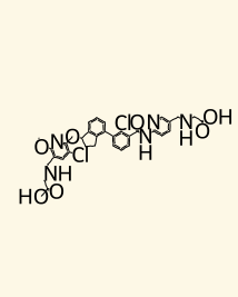 COc1nc(OC2CCc3c(-c4cccc(C(=O)Nc5ccc(CNCC(=O)O)cn5)c4Cl)cccc32)c(Cl)cc1CNCC(=O)O